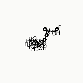 O=S(=O)(C[C@@H]1OC(CO)[C@@H](O[C@@H]2OC(CO)[C@@H](O)C(O)C2O)C(O)C1O)c1ccc(-c2ccc([C@@H]3[C@@H](CC[C@H](O)c4ccc(F)cc4)CN3c3ccccc3)cc2)cc1